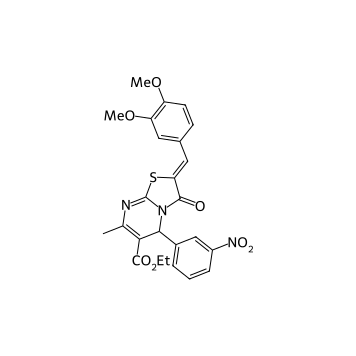 CCOC(=O)C1=C(C)N=c2s/c(=C\c3ccc(OC)c(OC)c3)c(=O)n2C1c1cccc([N+](=O)[O-])c1